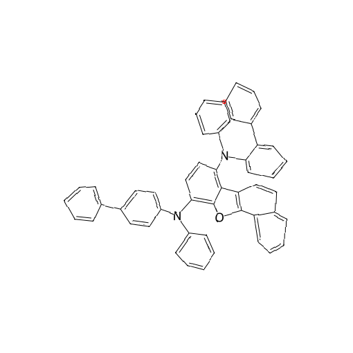 c1ccc(-c2ccc(N(c3ccccc3)c3ccc(N(c4ccccc4)c4ccccc4-c4ccccc4)c4c3oc3c5ccccc5ccc34)cc2)cc1